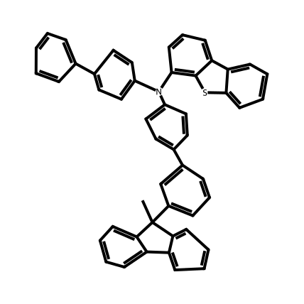 CC1(c2cccc(-c3ccc(N(c4ccc(-c5ccccc5)cc4)c4cccc5c4sc4ccccc45)cc3)c2)c2ccccc2-c2ccccc21